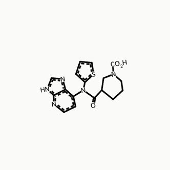 O=C(O)N1CCCC(C(=O)N(c2cccs2)c2ccnc3[nH]cnc23)C1